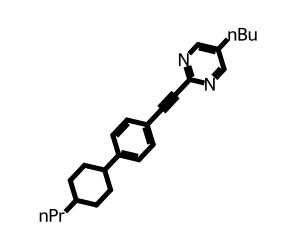 CCCCc1cnc(C#Cc2ccc(C3CCC(CCC)CC3)cc2)nc1